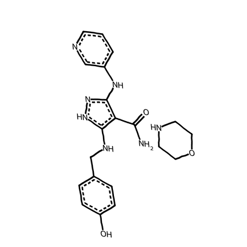 C1COCCN1.NC(=O)c1c(Nc2cccnc2)n[nH]c1NCc1ccc(O)cc1